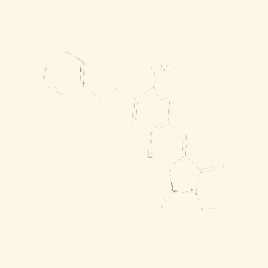 COc1cc(/C=C2\SC(=O)N(C)C2=O)c(Br)cc1OCc1ccccc1